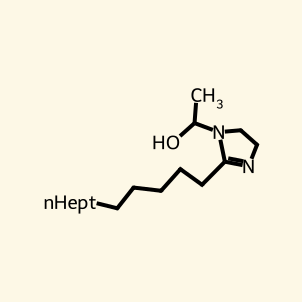 CCCCCCCCCCCCC1=NCCN1C(C)O